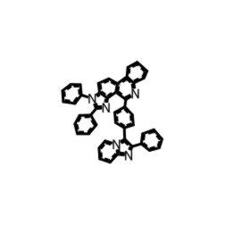 c1ccc(-c2nc3ccccn3c2-c2ccc(-c3nc4ccccc4c4ccc5c(nc(-c6ccccc6)n5-c5ccccc5)c34)cc2)cc1